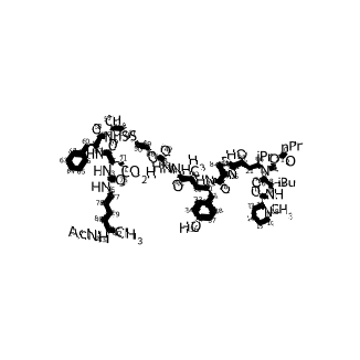 CCCC(=O)OCN(C(=O)[C@@H](NC(=O)[C@H]1CCCCN1C)C(C)CC)[C@H](C[C@@H](O)c1nc(C(=O)N[C@@H](Cc2ccc(O)cc2)C[C@H](C)C(=O)NNC(=O)OCCSSC[C@@H](C)NC(=O)[C@H](Cc2ccccc2)NC(=O)[C@H](CC(=O)O)NC(=O)NCCCC[C@@H](C)NC(C)=O)cs1)C(C)C